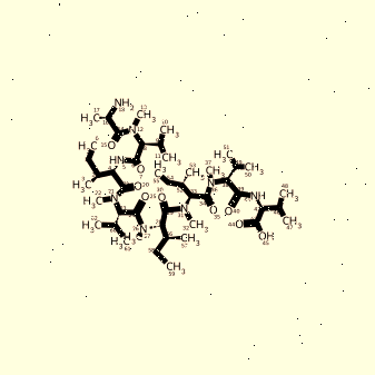 CC[C@H](C)[C@H](NC(=O)[C@H](C(C)C)N(C)C(=O)[C@H](C)N)C(=O)N(C)[C@H](C(=O)N(C)[C@H](C(=O)N(C)[C@H](C(=O)N(C)[C@H](C(=O)N[C@H](C(=O)O)C(C)C)C(C)C)[C@@H](C)CC)[C@@H](C)CC)C(C)C